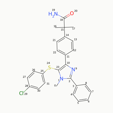 Cn1c(-c2ccccc2)nc(-c2ccc(C(C)(C)C(N)=O)cc2)c1Sc1ccc(Cl)cc1